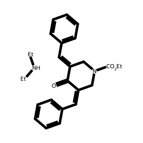 CCNCC.CCOC(=O)N1CC(=Cc2ccccc2)C(=O)C(=Cc2ccccc2)C1